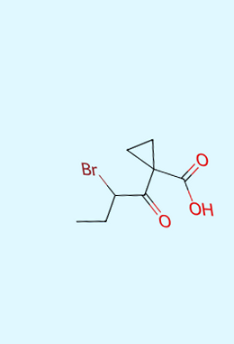 CCC(Br)C(=O)C1(C(=O)O)CC1